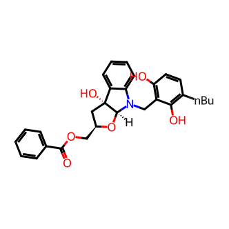 CCCCc1ccc(O)c(CN2c3ccccc3[C@]3(O)C[C@H](COC(=O)c4ccccc4)O[C@H]23)c1O